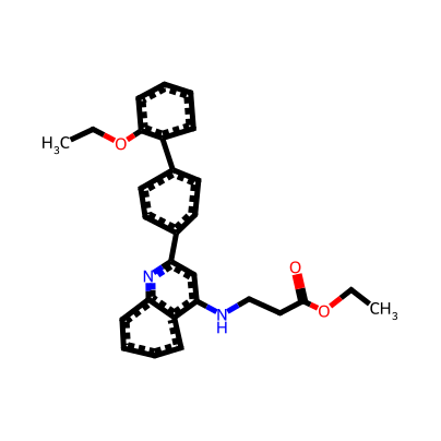 CCOC(=O)CCNc1cc(-c2ccc(-c3ccccc3OCC)cc2)nc2ccccc12